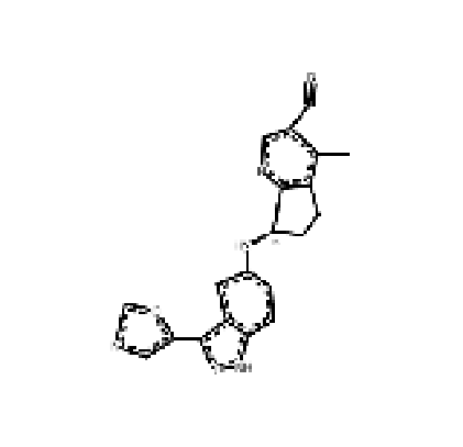 Cc1c(C#N)cnc2c1CC[C@H]2Nc1ccc2[nH]nc(-c3cnco3)c2c1